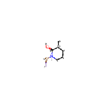 CC1CCCN(SI)C1=O